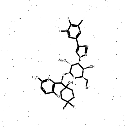 CO[C@@H]1[C@@H](n2cc(-c3cc(F)c(F)c(F)c3)nn2)[C@@H](O)[C@@H](CO)O[C@H]1S[C@H](c1nc(C)ccc1Cl)C1(O)CCC(F)(F)CC1